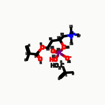 C=C(C)C(=O)O.C=C(C)C(=O)OCCC(C[N+](C)(C)C)OP(=O)([O-])O